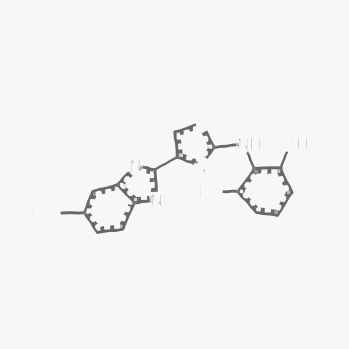 Cc1cccc(C)c1Nc1nc(-c2nc3cc(C(F)(F)F)ccc3[nH]2)cs1